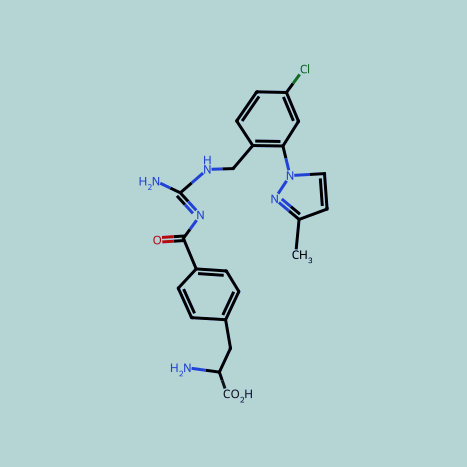 Cc1ccn(-c2cc(Cl)ccc2CNC(N)=NC(=O)c2ccc(CC(N)C(=O)O)cc2)n1